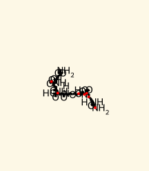 NCC(=O)NCCCCC(NC(=O)COCCOCCNC(=O)CCC(NC(=O)CCC(NC(=O)CCCS(N)(=O)=O)C(=O)O)C(=O)O)C(=O)O